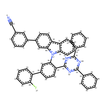 N#Cc1cccc(-c2ccc3c4ccccc4n(-c4cc(-c5ccccc5F)ccc4-c4nc(-c5ccccc5)nc(-c5ccccc5)n4)c3c2)c1